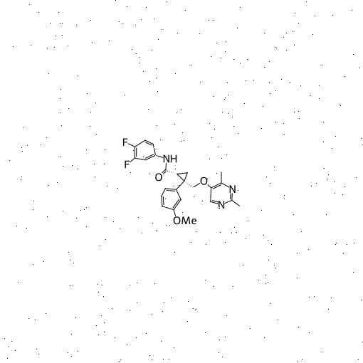 COc1cccc([C@]2(COc3cnc(C)nc3C)C[C@H]2C(=O)Nc2ccc(F)c(F)c2)c1